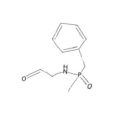 CP(=O)(Cc1ccccc1)NCC=O